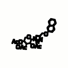 CC(=O)OC1COC(n2cc(COc3ccc4ccccc4c3)nn2)C(OC(C)=O)C1OC(C)=O